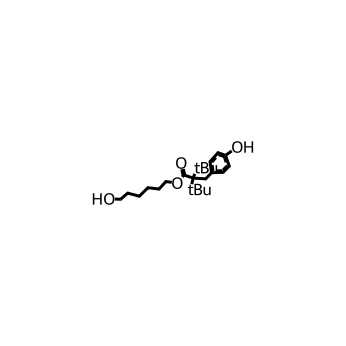 CC(C)(C)C(Cc1ccc(O)cc1)(C(=O)OCCCCCCO)C(C)(C)C